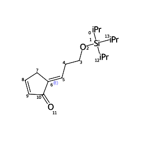 CC(C)[Si](OCC/C=C1\CC=CC1=O)(C(C)C)C(C)C